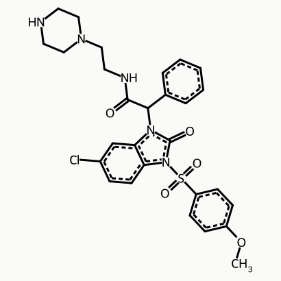 COc1ccc(S(=O)(=O)n2c(=O)n(C(C(=O)NCCN3CCNCC3)c3ccccc3)c3cc(Cl)ccc32)cc1